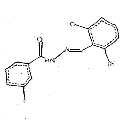 O=C(N/N=C/c1c(O)cccc1Cl)c1cccc(F)c1